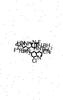 BC1=C([C@@H](Nc2cc(Cl)c3ncc(C#N)c(NC(B)(B)C(C)(C)C)c3c2)c2ccc(F)nc2C)NNN1C1(C(F)F)CC1